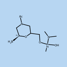 B[C@H]1CN(C(C)=O)CC(CO[PH](C)(O)N(C)C)O1